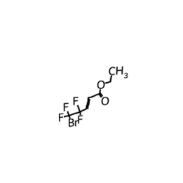 CCOC(=O)C=CC(F)(F)C(F)(F)Br